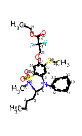 CCCCC1CN(c2ccccc2)c2cc(SC)c(OCC(F)(F)C(=O)OCC)cc2S(=O)(=O)N1C